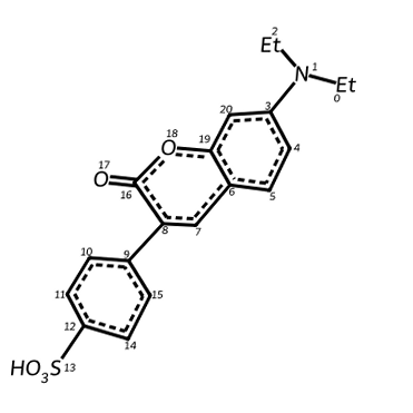 CCN(CC)c1ccc2cc(-c3ccc(S(=O)(=O)O)cc3)c(=O)oc2c1